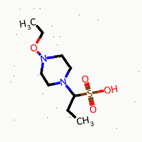 CCON1CCN(C(CC)S(=O)(=O)O)CC1